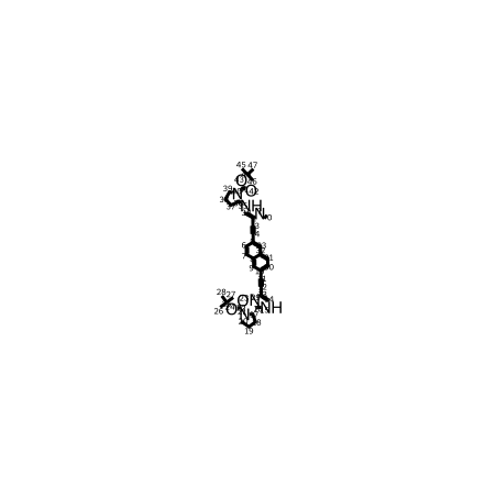 C=N/C(C#Cc1ccc2cc(C#Cc3c[nH]c([C@@H]4CCCN4C(=O)OC(C)(C)C)n3)ccc2c1)=C\NC1CCCN1C(=O)OC(C)(C)C